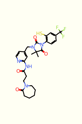 CC1(C)C(=O)N(c2ccc(C(F)(F)F)cc2S)C(=O)N1Cc1ccnc(NC(=O)CCN2CCCCCC2=O)c1